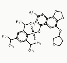 Cc1nc(OS(=O)(=O)c2c(C(C)C)cc(C(C)C)cc2C(C)C)c2cc(O[C@H]3CCOC3)c3c(c2n1)OCO3